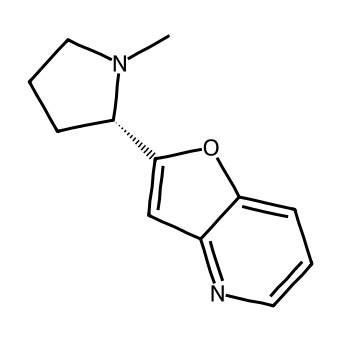 CN1CCC[C@H]1c1cc2ncccc2o1